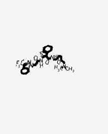 CN(C)Cc1ccc(CNC(=O)c2c(NC(=O)Cn3nc(C(F)(F)F)c4c3CCCC4)sc3c2CCCC3)o1